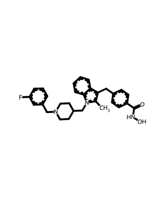 Cc1c(Cc2ccc(C(=O)NO)cc2)c2ccccc2n1CC1CCN(Cc2cccc(F)c2)CC1